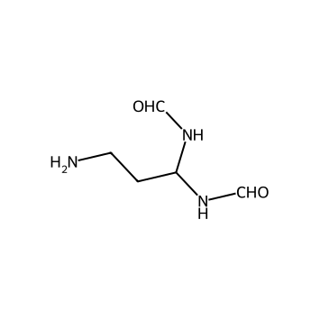 NCCC(NC=O)NC=O